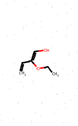 C=CC(=CO)OCC